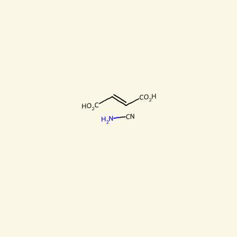 N#CN.O=C(O)C=CC(=O)O